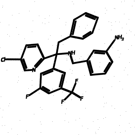 Nc1cccc(CNC(Cc2ccccc2)(c2cc(F)cc(C(F)(F)F)c2)c2ccc(Cl)cn2)c1